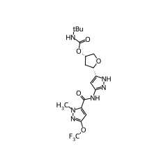 Cn1nc(OC(F)(F)F)cc1C(=O)Nc1cc([C@@H]2C[C@H](OC(=O)NC(C)(C)C)CO2)[nH]n1